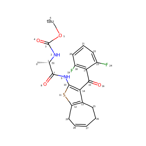 C[C@H](NC(=O)OC(C)(C)C)C(=O)Nc1sc2c(c1C(=O)c1c(F)cccc1F)CCC=CC2